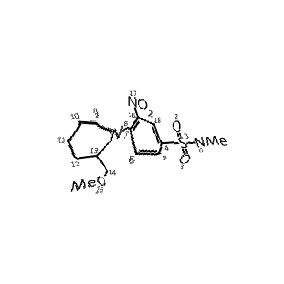 CNS(=O)(=O)c1ccc(N2CCCCC2COC)c([N+](=O)[O-])c1